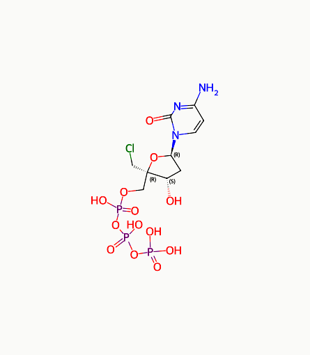 Nc1ccn([C@H]2C[C@H](O)[C@@](CCl)(COP(=O)(O)OP(=O)(O)OP(=O)(O)O)O2)c(=O)n1